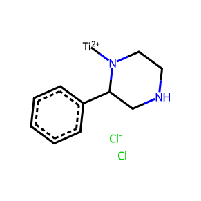 [Cl-].[Cl-].[Ti+2][N]1CCNCC1c1ccccc1